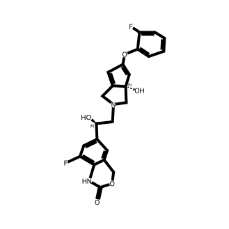 O=C1Nc2c(F)cc([C@@H](O)CN3CC4=CC(Oc5ccccc5F)=C[C@@]4(O)C3)cc2CO1